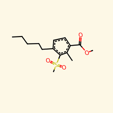 CCCCCc1ccc(C(=O)OC)c(C)c1S(C)(=O)=O